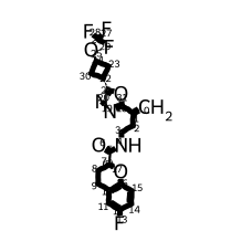 C=C(CCNC(=O)[C@@H]1CCc2cc(F)ccc2O1)c1nnc([C@H]2C[C@@H](OC(F)(F)F)C2)o1